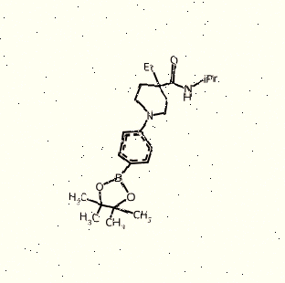 CCC1(C(=O)NC(C)C)CCN(c2ccc(B3OC(C)(C)C(C)(C)O3)cc2)CC1